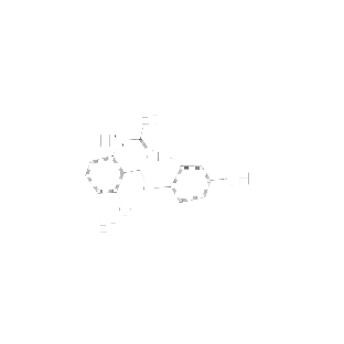 CCOc1cccc(NC(=O)CC)c1COc1ccc(C)cc1Cl